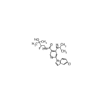 CC(C)Nc1cc(-n2ccc3cc(Cl)ccc32)ncc1C(=O)NC[C@@H](F)C(C)(C)O